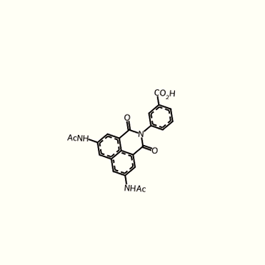 CC(=O)Nc1cc2c3c(cc(NC(C)=O)cc3c1)C(=O)N(c1cccc(C(=O)O)c1)C2=O